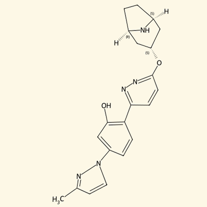 Cc1ccn(-c2ccc(-c3ccc(O[C@@H]4C[C@H]5CC[C@@H](C4)N5)nn3)c(O)c2)n1